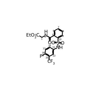 CCOC(=O)CNC(=O)c1ccccc1S(=O)(=O)Nc1ccc(F)c(C(F)(F)F)c1